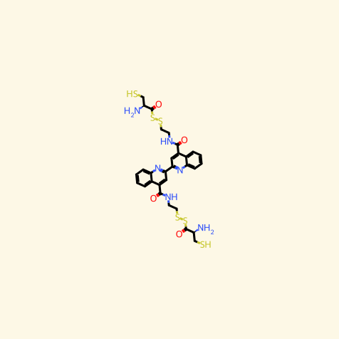 N[C@@H](CS)C(=O)SSCCNC(=O)c1cc(-c2cc(C(=O)NCCSSC(=O)[C@@H](N)CS)c3ccccc3n2)nc2ccccc12